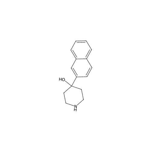 OC1(c2ccc3ccccc3c2)CCNCC1